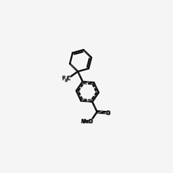 COC(=O)c1ccc(C2(C(F)(F)F)C=CC=CC2)cc1